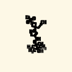 C#CCC1(n2cc(BOC(C)(C)C(C)(C)O)cn2)CN(S(=O)(=O)CC)C1